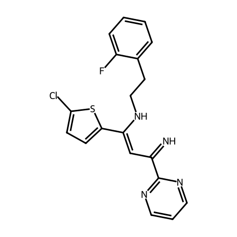 N=C(/C=C(\NCCc1ccccc1F)c1ccc(Cl)s1)c1ncccn1